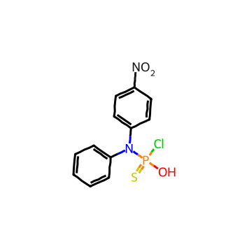 O=[N+]([O-])c1ccc(N(c2ccccc2)P(O)(=S)Cl)cc1